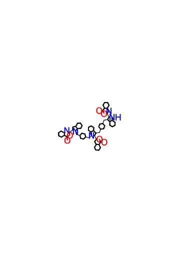 O=c1oc(-c2c(Cc3ccc(Cc4c(-c5nc6ccccc6c(=O)o5)[nH]c5ccccc45)cc3)c3ccccc3n2Cc2ccc(Cn3c(-c4nc5ccccc5c(=O)o4)cc4ccccc43)cc2)cc2ccccc12